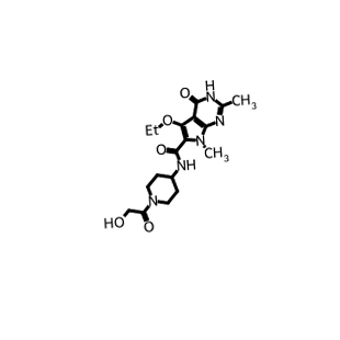 CCOc1c(C(=O)NC2CCN(C(=O)CO)CC2)n(C)c2nc(C)[nH]c(=O)c12